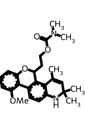 COc1cccc2c1-c1ccc3c(c1C(CCOC(=O)N(C)C)O2)C(C)=CC(C)(C)N3